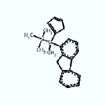 C[Si](C)(C)[Si](C)(C1=CC=CC1)c1cccc2c1Cc1ccccc1-2